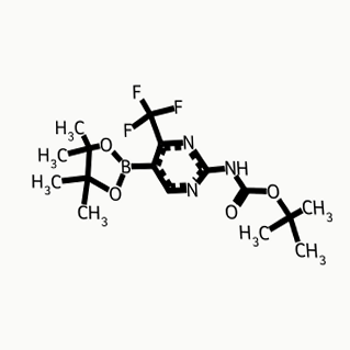 CC(C)(C)OC(=O)Nc1ncc(B2OC(C)(C)C(C)(C)O2)c(C(F)(F)F)n1